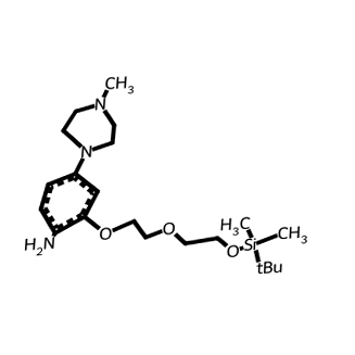 CN1CCN(c2ccc(N)c(OCCOCCO[Si](C)(C)C(C)(C)C)c2)CC1